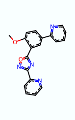 COc1ccc(-c2ccccn2)cc1-c1nc(-c2ccccn2)no1